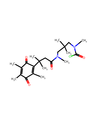 CC1=C(C)C(=O)C(C(C)(C)CC(=O)N(C)CC(C)(C)CN(C)C(=O)Cl)=C(C)C1=O